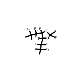 CCC(C)(C)C(F)(F)C1(F)OC(F)(F)OC1(F)C(F)(F)C(C)(C)CC